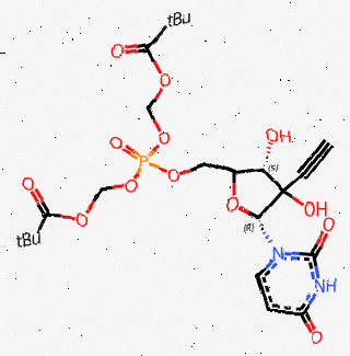 C#CC1(O)[C@@H](O)C(COP(=O)(OCOC(=O)C(C)(C)C)OCOC(=O)C(C)(C)C)O[C@H]1n1ccc(=O)[nH]c1=O